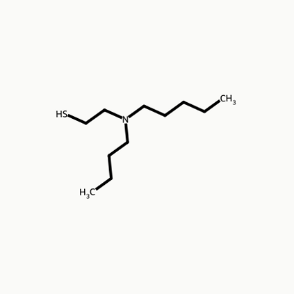 CCCCCN(CCS)CCCC